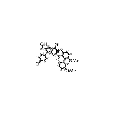 COc1ccc(CSc2nc3c(-c4ccc(Cl)cc4)c(CO)nn3c(=O)n2Cc2ccc(OC)cc2)cc1